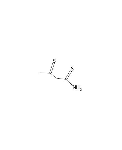 CC(=S)CC(N)=S